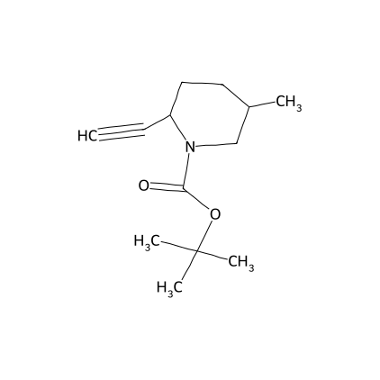 C#CC1CCC(C)CN1C(=O)OC(C)(C)C